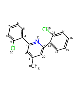 FC(F)(F)c1cc(-c2ccccc2Cl)nc(-c2ccccc2Cl)c1